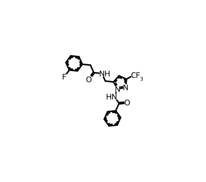 O=C(Cc1cccc(F)c1)NCc1cc(C(F)(F)F)nn1NC(=O)c1ccccc1